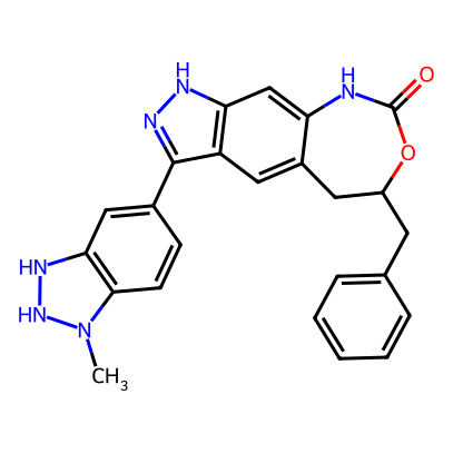 CN1NNc2cc(-c3n[nH]c4cc5c(cc34)CC(Cc3ccccc3)OC(=O)N5)ccc21